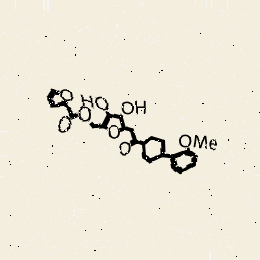 COc1ccccc1C1CCC(C(=O)CC2OC(COC(=O)c3ccco3)C(O)C2O)CC1